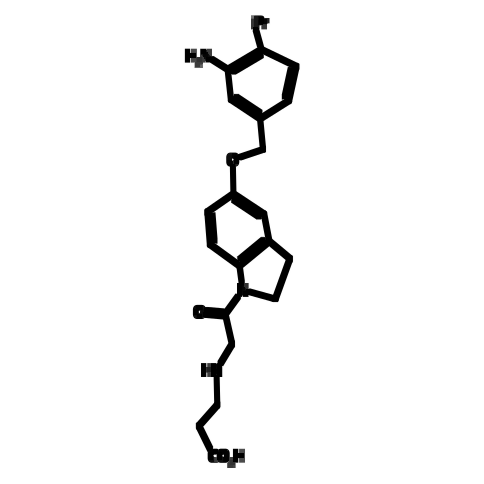 CC(C)c1ccc(COc2ccc3c(c2)CCN3C(=O)CNCCC(=O)O)cc1N